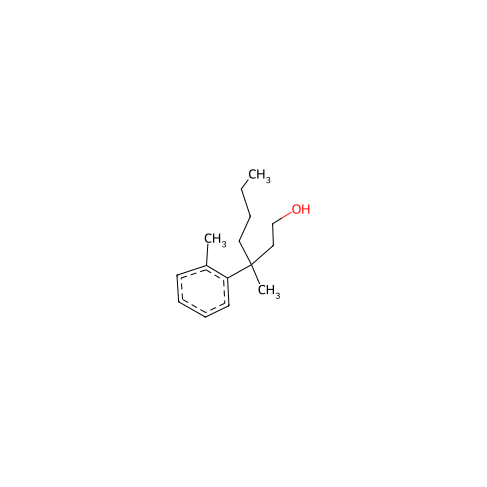 CCCCC(C)(CCO)c1ccccc1C